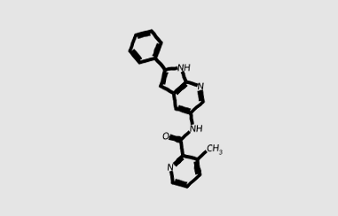 Cc1cccnc1C(=O)Nc1cnc2[nH]c(-c3ccccc3)cc2c1